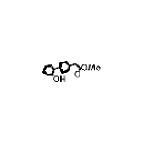 COC(=O)Cc1ccc(-c2ccccc2O)cc1